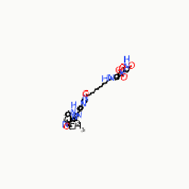 Cc1noc(C)c1-c1ccc2nc(-c3ccc(N4CCN(C(=O)CCCCCCCCCCCNc5ccc6c(c5)C(=O)N(C5CCC(=O)NC5=O)C6=O)CC4)cc3)c(NC3CCCCC3)n2c1